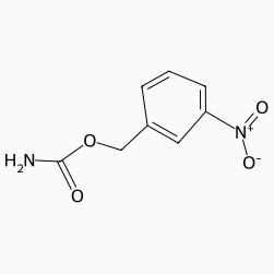 NC(=O)OCc1cccc([N+](=O)[O-])c1